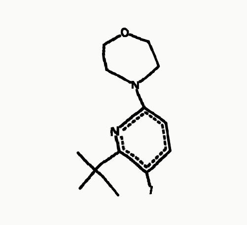 CC(C)(C)c1nc(N2CCOCC2)ccc1I